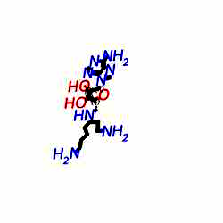 NCCCCC(CCN)NC[C@H]1O[C@@H](n2cnc3c(N)ncnc32)[C@H](O)[C@@H]1O